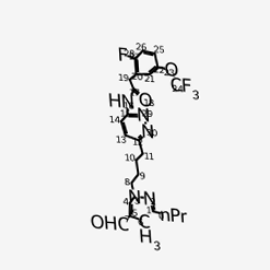 CCC/C=N/N(/C=C(\C)C=O)CCCCc1ccc(NC(=O)Cc2cc(OC(F)(F)F)ccc2F)nn1